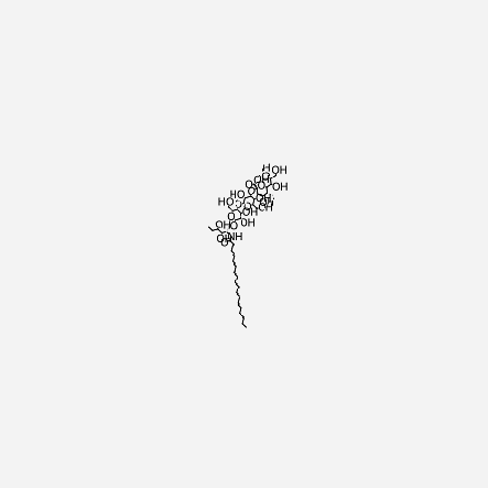 CCCCCCCCCCCCCCCCCC(=O)N[C@@H](CO[C@@H]1O[C@@H](CO)[C@@H](O[C@@H]2OC(CO)[C@H](O)[C@H](OC3(C(=O)O)CC(O)[C@@H](C)[C@H]([C@H](O)[C@H](O)CO)O3)C2O)C(O)C1O)[C@H](O)[C@H](O)CC